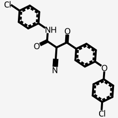 N#CC(C(=O)Nc1ccc(Cl)cc1)C(=O)c1ccc(Oc2ccc(Cl)cc2)cc1